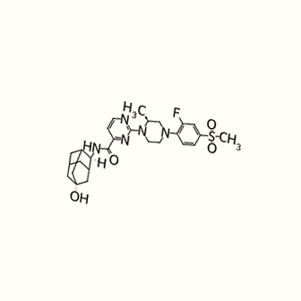 C[C@H]1CN(c2ccc(S(C)(=O)=O)cc2F)CCN1c1nccc(C(=O)N[C@H]2C3CC4CC2C[C@](O)(C4)C3)n1